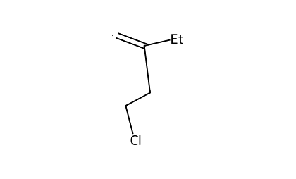 [CH]=C(CC)CCCl